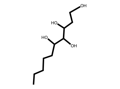 CCCCCC(O)C(O)C(O)CCO